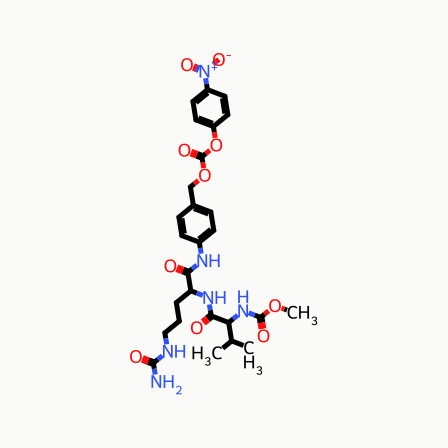 COC(=O)NC(C(=O)NC(CCCNC(N)=O)C(=O)Nc1ccc(COC(=O)Oc2ccc([N+](=O)[O-])cc2)cc1)C(C)C